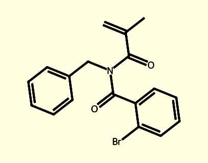 C=C(C)C(=O)N(Cc1ccccc1)C(=O)c1ccccc1Br